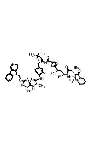 CCCCCCN(C(=O)[C@@H](NC(=O)[C@H]1CCCCN1C)[C@@H](C)CC)[C@H](C[C@@H](OC(C)=O)c1nc(C(=O)N[C@@H](Cc2ccc(NC(=O)[C@H](C)NC(=O)[C@@H](NC(=O)OCC3c4ccccc4-c4ccccc43)C(C)C)c(F)c2)CC(C)(C)C(=O)O)cs1)C(C)C